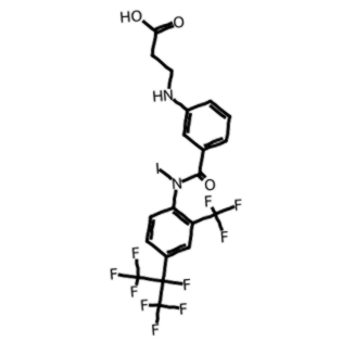 O=C(O)CCNc1cccc(C(=O)N(I)c2ccc(C(F)(C(F)(F)F)C(F)(F)F)cc2C(F)(F)F)c1